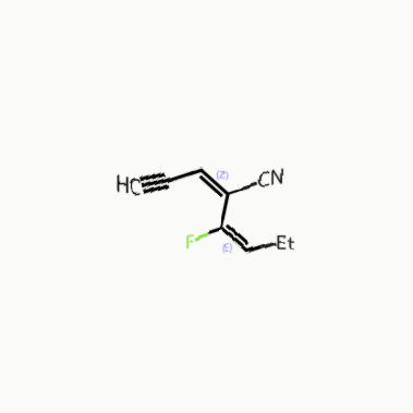 C#C/C=C(C#N)\C(F)=C/CC